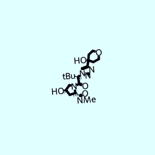 CNC(=O)[C@@H]1C[C@@H](O)CN1C(=O)[C@@H](n1cc(C2(O)CCOCC2)nn1)C(C)(C)C